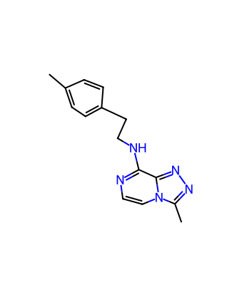 Cc1ccc(CCNc2nccn3c(C)nnc23)cc1